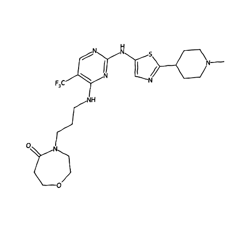 CN1CCC(c2ncc(Nc3ncc(C(F)(F)F)c(NCCCN4CCOCCC4=O)n3)s2)CC1